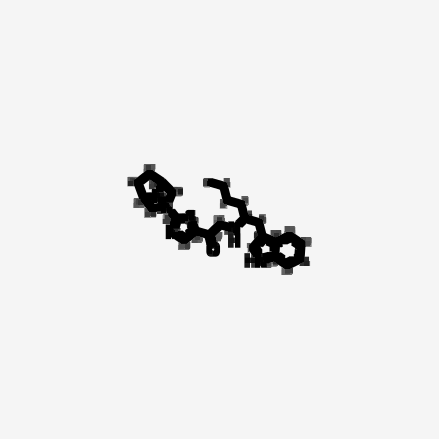 CCCCC(Cc1c[nH]c2ccccc12)NCC(=O)c1cnc(N2CC3CCC(C2)N3C)s1